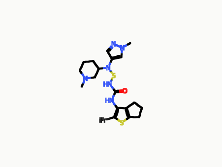 CC(C)c1sc2c(c1NC(=O)NSN(c1cnn(C)c1)C1CCCN(C)C1)CCC2